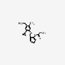 CCC(=O)Oc1ccccc1COc1cc(C)c(CC)cc1C1CC1